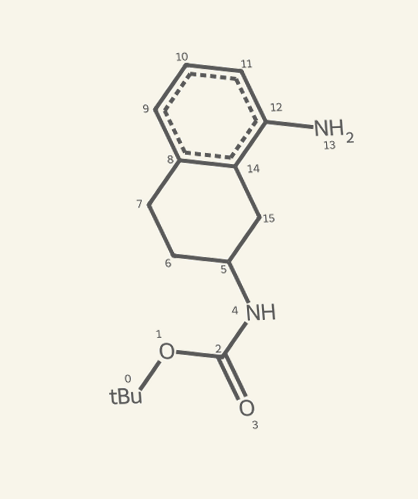 CC(C)(C)OC(=O)NC1CCc2cccc(N)c2C1